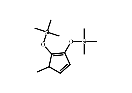 CC1C=CC(O[Si](C)(C)C)=C1O[Si](C)(C)C